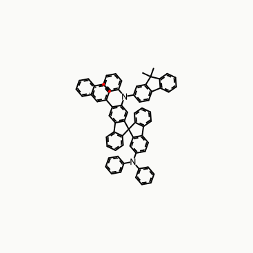 CC1(C)c2ccccc2-c2ccc(N(c3ccccc3)c3cc4c(cc3-c3ccc5ccccc5c3)-c3ccccc3C43c4ccccc4-c4ccc(N(c5ccccc5)c5ccccc5)cc43)cc21